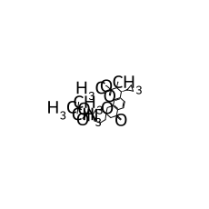 COC(=O)[C@@H](C)[C@H](c1ccc2c(c1)OC1(CCCN(C(=O)OC(C)(C)C)CC1)CC2=O)C1CC1